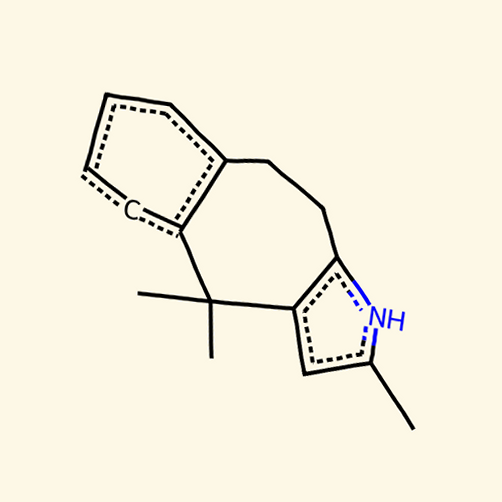 Cc1cc2c([nH]1)CCc1ccccc1C2(C)C